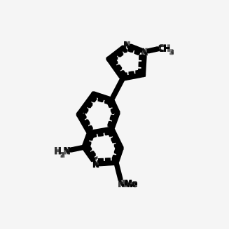 CNc1cc2cc(-c3cnn(C)c3)ccc2c(N)n1